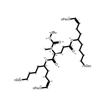 CCCCC/C=C\CCC(CCCCCCCCCCCCCC)OC(=O)CC[C@@H](C(=O)OC(CC/C=C\CCCCC)CCCCCCCCCCCCCC)N(C)C(=O)OC(C)(C)C